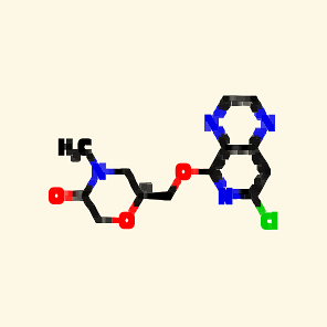 CN1C[C@@H](COc2nc(Cl)cc3nccnc23)OCC1=O